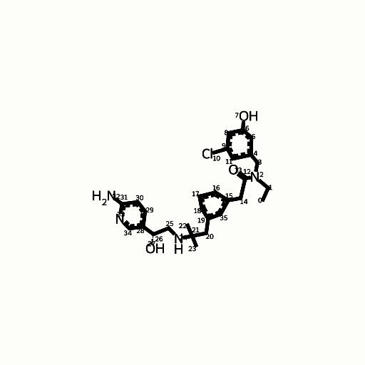 CCN(Cc1cc(O)cc(Cl)c1)C(=O)Cc1cccc(CC(C)(C)NC[C@H](O)c2ccc(N)nc2)c1